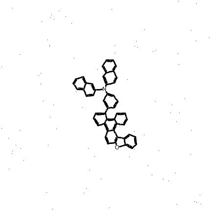 c1cc(-c2cccc3c4ccc5oc6ccccc6c5c4c4ccccc4c23)cc(N(c2ccc3ccccc3c2)c2ccc3ccccc3c2)c1